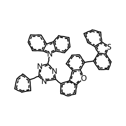 c1ccc(-c2nc(-c3cccc4oc5c(-c6cccc7sc8ccccc8c67)cccc5c34)nc(-n3c4ccccc4c4ccccc43)n2)cc1